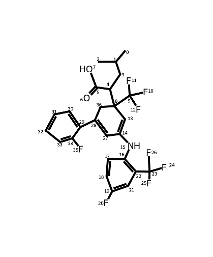 CC(C)CC(C(=O)O)C1(C(F)(F)F)C=C(Nc2ccc(F)cc2C(F)(F)F)C=C(c2ccccc2F)C1